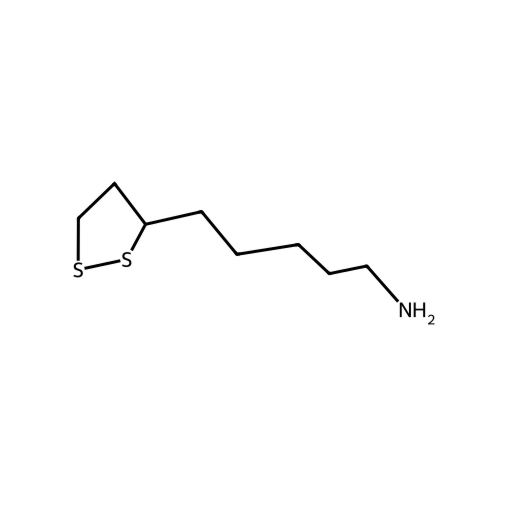 NCCCCCC1CCSS1